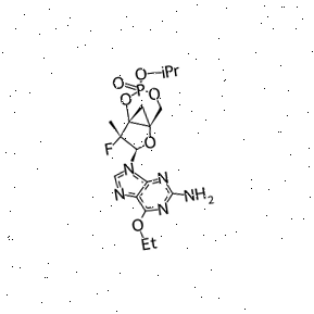 CCOc1nc(N)nc2c1ncn2[C@@H]1O[C@]23CO[P@](=O)(OC(C)C)O[C@@]2(C3)[C@@]1(C)F